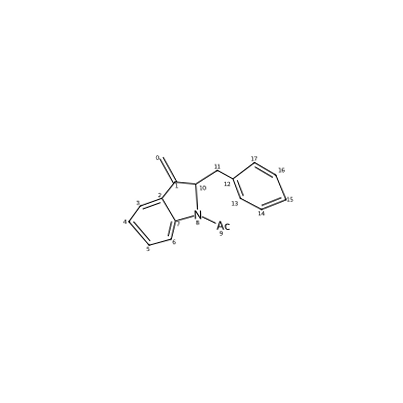 C=C1c2ccccc2N(C(C)=O)C1Cc1ccccc1